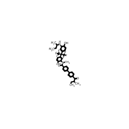 CCC(C)Nc1cc(C(c2ccc(O)c(N(C)C(=O)c3ccc(-c4ccc(C(=O)C(C)CC)cc4)cc3)c2)(C(F)(F)F)C(F)(F)F)ccc1O